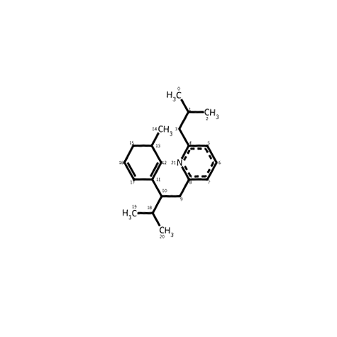 CC(C)Cc1cccc(CC(C2=CC(C)CC=C2)C(C)C)n1